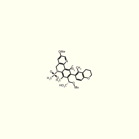 COc1cnc2c(c1)CN(S(C)(=O)=O)c1c(C)c([C@H](OC(C)(C)C)C(=O)O)c(-c3ccc4c(c3C)CCCO4)c(C)c1-2